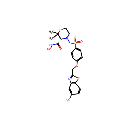 CC1(C)OCCN(SS(=O)(=O)c2ccc(OCc3nc4cc(C(F)(F)F)ccc4s3)cc2)[C@@H]1C(=O)NO